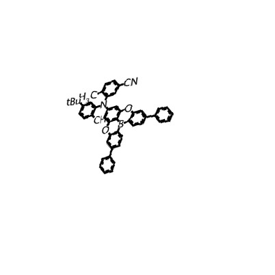 Cc1ccc(C#N)cc1N(c1cc2c3c(c1)Oc1cc(-c4ccccc4)ccc1B3c1ccc(-c3ccccc3)cc1O2)c1cc(C(C)(C)C)ccc1C